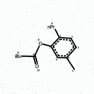 CCCc1ccc(C)cc1OC(=O)C(C)CC